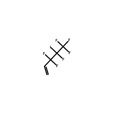 C=CC(F)(F)C(F)(I)C(F)(F)F